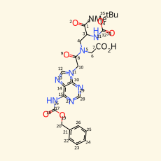 CNC(=O)C(CN(CC(=O)O)C(=O)Cn1cnc2c(NC(=O)OCc3ccccc3)ncnc21)NC(=O)OC(C)(C)C